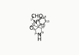 O=CCN1C(=O)C2(CCNCC2)c2ccccc21